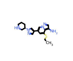 CCSc1cc(-c2cnn([C@H]3CCCNC3)c2)cn2ncc(N)c12